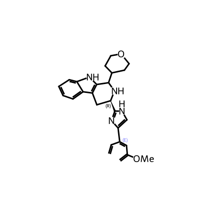 C=C/C(=C\C(=C)OC)c1c[nH]c([C@H]2Cc3c([nH]c4ccccc34)C(C3CCOCC3)N2)n1